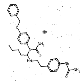 Br.CCCCC(NCCc1ccc(NC(N)=O)cc1)N(C(N)=O)c1ccc(OCc2ccccc2)cc1